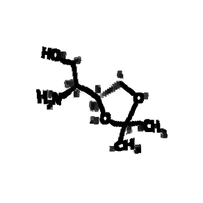 CC1(C)OC[C@@H]([C@@H](N)CO)O1